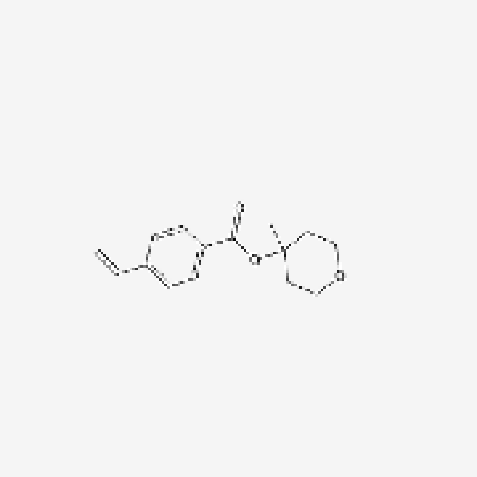 C=Cc1ccc(C(=O)OC2(C)CCOCC2)cc1